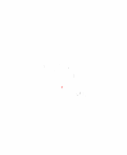 CC(C)P(C)C1=C([C@@H](C)P23(CCCCC2)CCCCC3)CC=C1